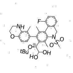 Cc1c(-c2c(C)c3c(c(C)c2[C@H](OC(C)(C)C)C(O)O)N(S(C)(=O)=O)Cc2cccc(F)c2-3)ccc2c1NCCO2